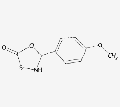 COc1ccc(C2NSC(=O)O2)cc1